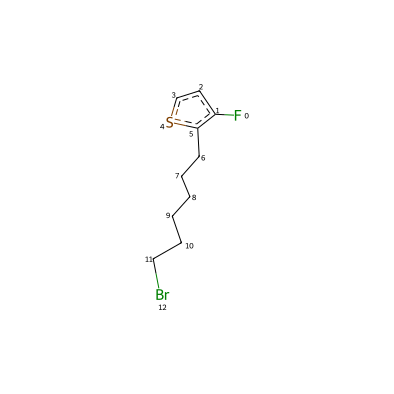 Fc1ccsc1CCCCCCBr